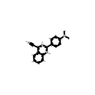 CN(C)c1ccc(-c2nc(C#N)c3ccccc3n2)cc1